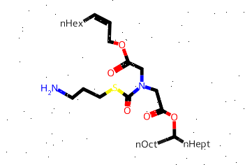 CCCCCC/C=C\COC(=O)CN(CC(=O)OC(CCCCCCC)CCCCCCCC)C(=O)SCCCN